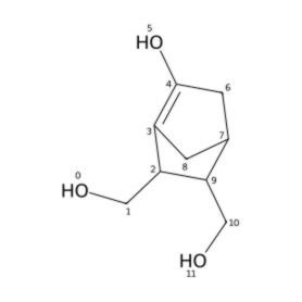 OCC1C2=C(O)CC(C2)C1CO